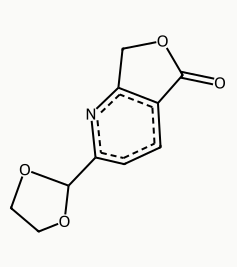 O=C1OCc2nc(C3OCCO3)ccc21